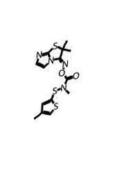 Cc1csc(SN(C)C(=O)ON=C2n3ccnc3SC2(C)C)c1